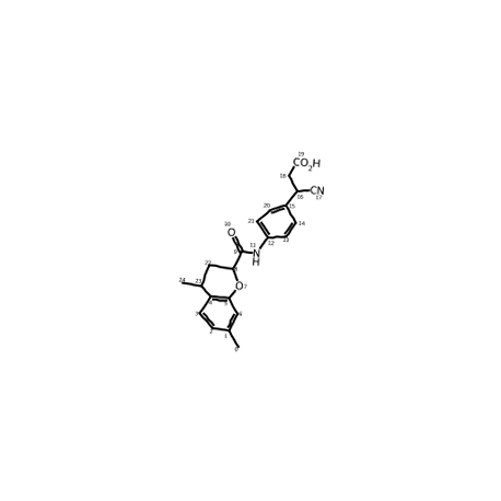 Cc1ccc2c(c1)OC(C(=O)Nc1ccc(C(C#N)CC(=O)O)cc1)CC2C